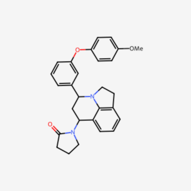 COc1ccc(Oc2cccc(C3CC(N4CCCC4=O)c4cccc5c4N3CC5)c2)cc1